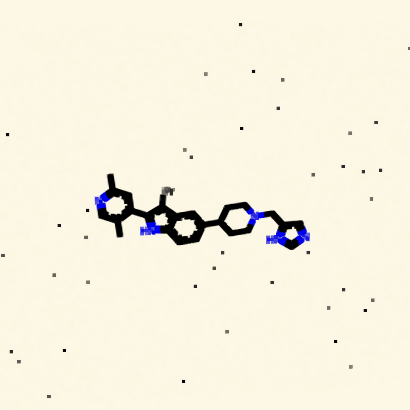 Cc1cc(-c2[nH]c3ccc(C4CCN(Cc5cnc[nH]5)CC4)cc3c2C(C)C)c(C)cn1